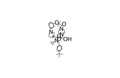 CC(C)(Oc1cccc(N2CCC[C@@H](C(=O)N(Cc3ccc(C(C)(C)C)cc3)C3CC3)C2)c1)C(=O)N1CCN(C(=O)O)CC1